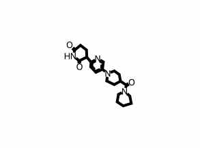 O=C1CCC(c2ccc(N3CCC(C(=O)N4CCCCC4)CC3)cn2)C(=O)N1